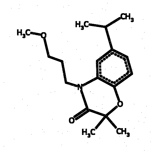 COCCCN1C(=O)C(C)(C)Oc2ccc(C(C)C)cc21